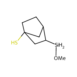 CO[SiH2]C1CC2(S)CCC1C2